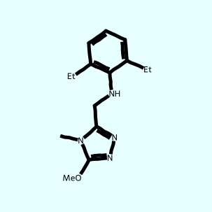 CCc1cccc(CC)c1NCc1nnc(OC)n1C